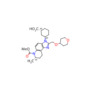 COC(=O)N1c2ccc3c(nc(COC4CCOCC4)n3[C@@H]3CCC[C@@H](C(=O)O)C3)c2CC[C@@H]1C